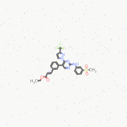 CCOC(=O)/C=C/c1cccc(-c2cnc(Nc3cccc(S(C)(=O)=O)c3)nc2-n2ccc(C(F)(F)F)n2)c1